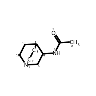 CC(=O)NC1CN2CCC1CC2